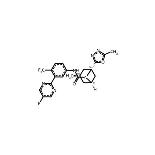 Cc1nnc([C@]23C[C@H](C)C[C@H](C2)N3C(=O)Nc2ccc(C(F)(F)F)c(-c3ncc(F)cn3)c2)o1